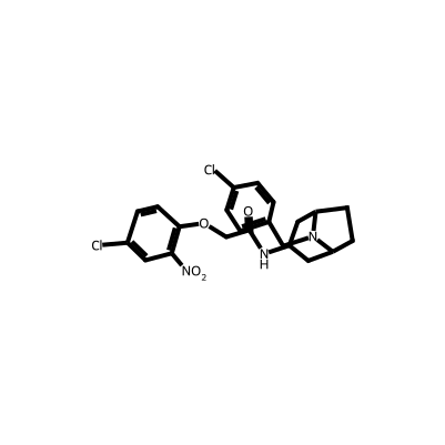 O=C(COc1ccc(Cl)cc1[N+](=O)[O-])NC1CC2CCC(C1)N2Cc1ccc(Cl)cc1